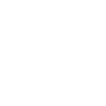 CCC(=O)OCc1ccccc1.COC(=O)c1ccccc1